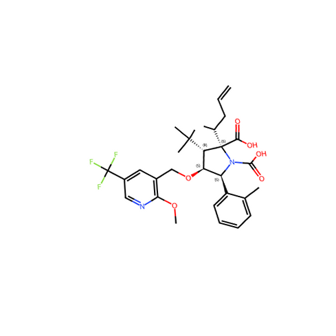 C=CCC(C)[C@@]1(C(=O)O)[C@@H](C(C)(C)C)[C@H](OCc2cc(C(F)(F)F)cnc2OC)[C@H](c2ccccc2C)N1C(=O)O